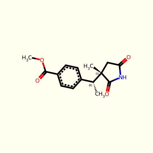 COC(=O)c1ccc([C@@H](C)[C@]2(C)CC(=O)NC2=O)cc1